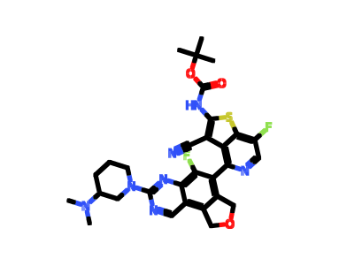 CN(C)C1CCCN(c2ncc3c4c(c(-c5ncc(F)c6sc(NC(=O)OC(C)(C)C)c(C#N)c56)c(F)c3n2)COC4)C1